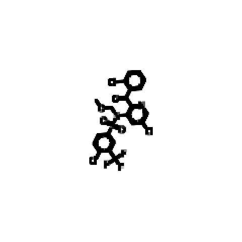 COCN(c1cc(Cl)cnc1C(=O)c1ccccc1Cl)S(=O)(=O)c1ccc(Cl)c(C(F)(F)F)c1